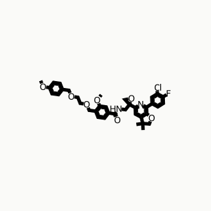 COc1ccc(COCCOCc2ccc(C(=O)NCC3(c4cc5c(c(-c6ccc(F)c(Cl)c6)n4)OCC5(C)C)CO3)cc2OC)cc1